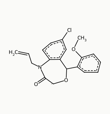 C=CCN1C(=O)[CH]OC(c2ccccc2OC)c2cc(Cl)ccc21